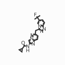 CC(C)(F)c1ccc2nnc(Cc3ccc4nc(NC(=O)C5CC5)cn4n3)n2c1